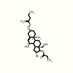 C=C(CCC)OO[C@H]1CC[C@@]2(C)C(=C[C@H](O)C3C4C[C@@H](Br)[C@H](OC(=O)CC)[C@@]4(CO)CCC32)C1